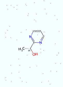 C[C@@H](O)c1n[c]ccn1